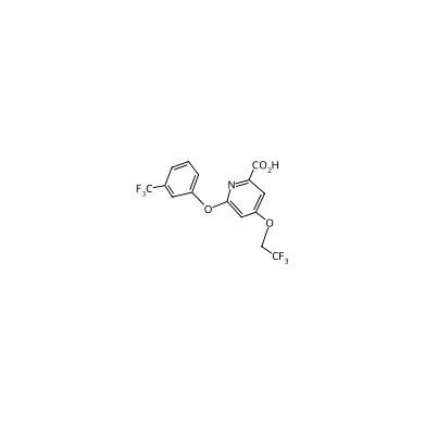 O=C(O)c1cc(OCC(F)(F)F)cc(Oc2cccc(C(F)(F)F)c2)n1